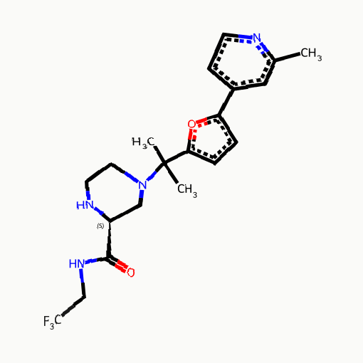 Cc1cc(-c2ccc(C(C)(C)N3CCN[C@H](C(=O)NCC(F)(F)F)C3)o2)ccn1